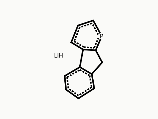 [LiH].c1ccc2c(c1)Cc1pcccc1-2